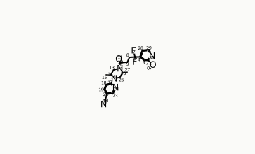 COc1cc(C(F)(F)CCC(=O)N2C[C@H](C)N(c3ccc(C#N)cn3)C[C@@H]2C)ccn1